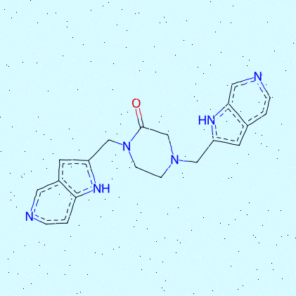 O=C1CN(Cc2cc3ccncc3[nH]2)CCN1Cc1cc2cnccc2[nH]1